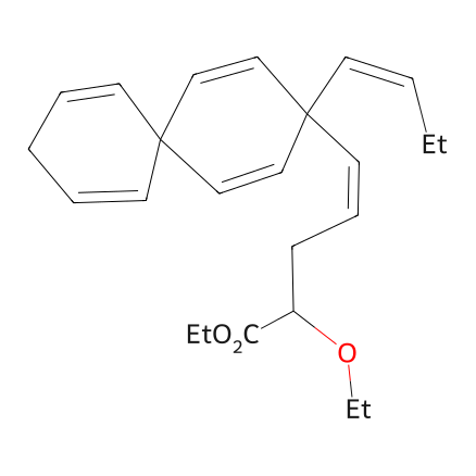 CC/C=C\C1(/C=C\CC(OCC)C(=O)OCC)C=CC2(C=CCC=C2)C=C1